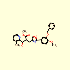 COC(=O)C(Cc1coc(-c2ccc(OC)c(OCc3ccccc3)c2)n1)C(=O)c1ncccc1C